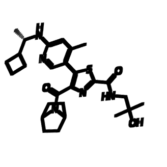 Cc1cc(N[C@@H](C)C2CCC2)ncc1-c1sc(C(=O)NCC(C)(C)O)nc1C(=O)N1C2CCC1CC2